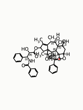 CC1=C2[C@H](C)[C@H](O)[C@@]3(C)[C@H]([C@H](OC(=O)c4ccccc4)[C@]2(C(C)(C)O)CC1OC(=O)[C@H](O)[C@@H](NC(=O)c1ccccc1)c1ccccc1)[C@]1(C)CO[C@@H]1C[C@@H]3O